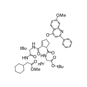 CCC[C@H](NC(=O)[C@@H]1C[C@@H](Oc2cc(-c3ccccc3)nc3cc(OC)ccc23)C=C1C(=O)N[C@H](C(=O)N[C@H](C(=O)OC)C1CCCCC1)C(C)(C)C)C(=O)OC(C)(C)C